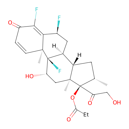 CCC(=O)O[C@]1(C(=O)CO)[C@@H](C)C[C@H]2[C@@H]3C[C@H](F)C4=C(F)C(=O)C=C[C@]4(C)[C@@]3(F)[C@@H](O)C[C@@]21C